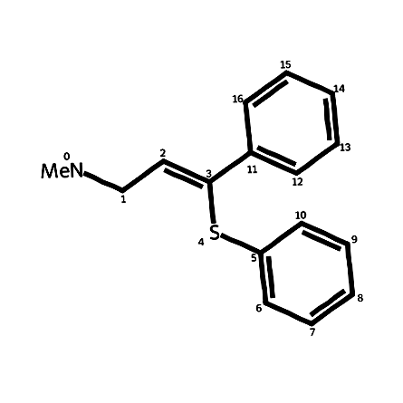 CNC/C=C(\Sc1ccccc1)c1ccccc1